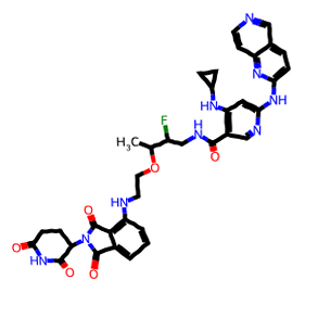 CC(OCCNc1cccc2c1C(=O)N(C1CCC(=O)NC1=O)C2=O)C(F)CNC(=O)c1cnc(Nc2ccc3cnccc3n2)cc1NC1CC1